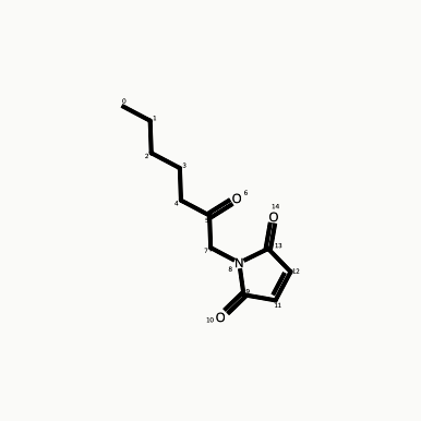 CCCCCC(=O)[CH]N1C(=O)C=CC1=O